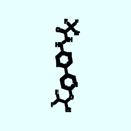 CCC(Oc1ccc(-c2cnc(NNC(=O)C(F)(F)Br)cn2)cn1)C(F)F